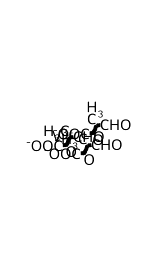 CC(C=O)C(=O)C(=O)[O-].CC(C=O)C(=O)C(=O)[O-].CC(C=O)C(=O)C(=O)[O-].[V+3]